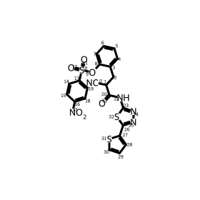 N#CC(Cc1ccccc1OS(=O)(=O)c1ccc([N+](=O)[O-])cc1)C(=O)Nc1nnc(-c2cccs2)s1